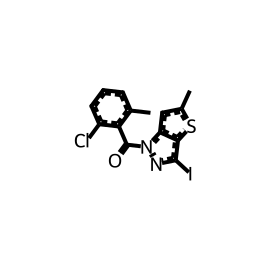 Cc1cc2c(s1)c(I)nn2C(=O)c1c(C)cccc1Cl